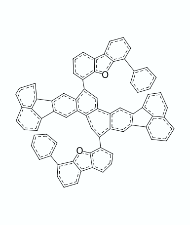 c1ccc(-c2cccc3c2oc2c(-c4cc5c6cc7c(cc6c(-c6cccc8c6oc6c(-c9ccccc9)cccc68)cc5c5cc6c(cc45)-c4cccc5cccc-6c45)-c4cccc5cccc-7c45)cccc23)cc1